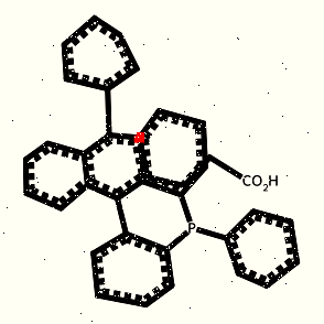 O=C(O)CCc1cc(-c2ccccc2)c2ccccc2c1-c1ccccc1P(c1ccccc1)c1ccccc1